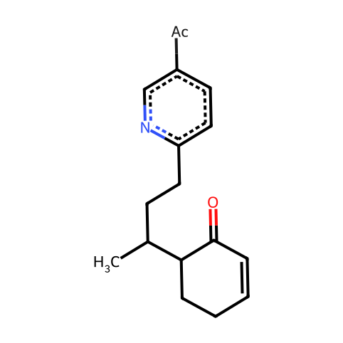 CC(=O)c1ccc(CCC(C)C2CCC=CC2=O)nc1